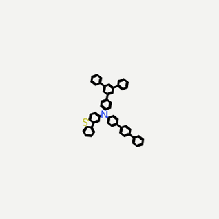 c1ccc(-c2ccc(-c3ccc(N(c4ccc(-c5cc(-c6ccccc6)cc(-c6ccccc6)c5)cc4)c4ccc5sc6ccccc6c5c4)cc3)cc2)cc1